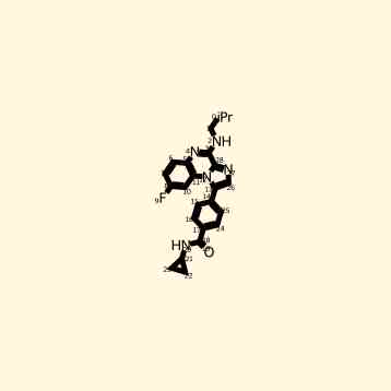 CC(C)CNc1nc2ccc(F)cc2n2c(-c3ccc(C(=O)NC4CC4)cc3)cnc12